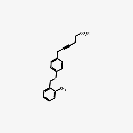 CCOC(=O)CCC#CCc1ccc(OCc2ccccc2C)cc1